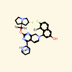 [2H]C([2H])(Oc1nc2c(c(N3CC4CCC3CN4)n1)C=CN(c1cc(O)cc3ccc(F)c(CC)c13)C2)[C@@]12CCCN1C[C@H](F)C2